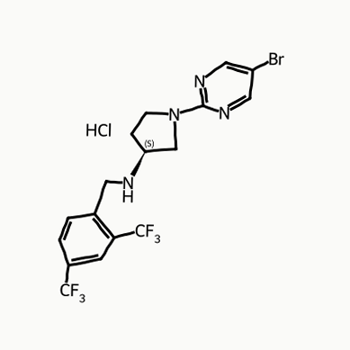 Cl.FC(F)(F)c1ccc(CN[C@H]2CCN(c3ncc(Br)cn3)C2)c(C(F)(F)F)c1